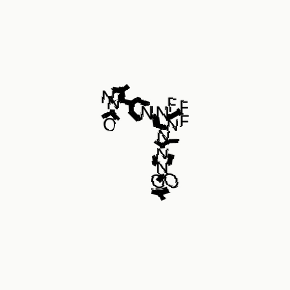 Cc1cnn(C2COC2)c1C1CCN(c2cc(N3CC(N4CCN(C(=O)OC(C)(C)C)CC4)C3C)nc(C(F)(F)F)n2)CC1